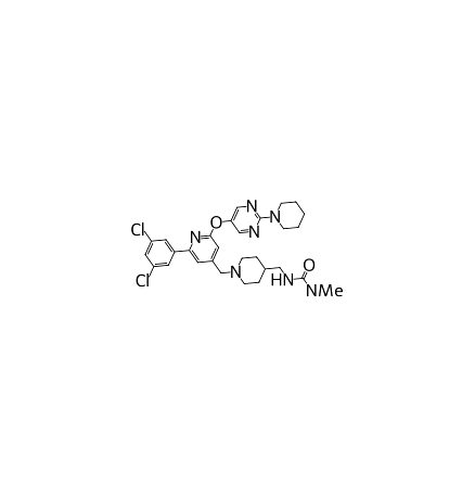 CNC(=O)NCC1CCN(Cc2cc(Oc3cnc(N4CCCCC4)nc3)nc(-c3cc(Cl)cc(Cl)c3)c2)CC1